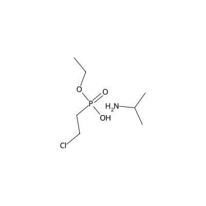 CC(C)N.CCOP(=O)(O)CCCl